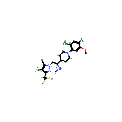 CNC(Cn1nc(C(F)(F)F)c(Cl)c1C)C1CCN(c2cc(OC)c(Cl)cc2Cl)CC1